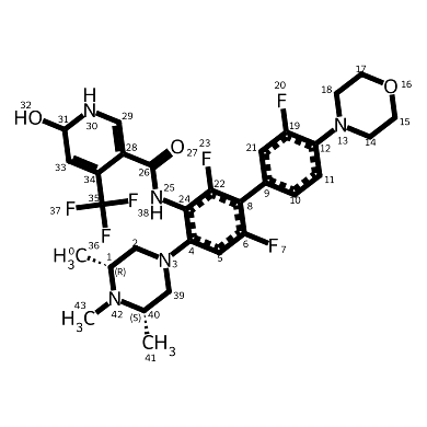 C[C@@H]1CN(c2cc(F)c(-c3ccc(N4CCOCC4)c(F)c3)c(F)c2NC(=O)C2=CNC(O)C=C2C(F)(F)F)C[C@H](C)N1C